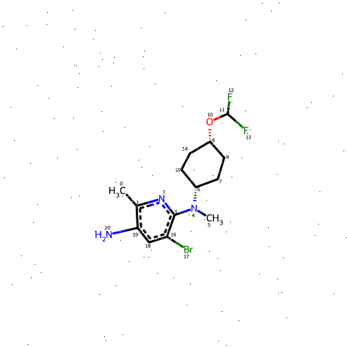 Cc1nc(N(C)[C@H]2CC[C@@H](OC(F)F)CC2)c(Br)cc1N